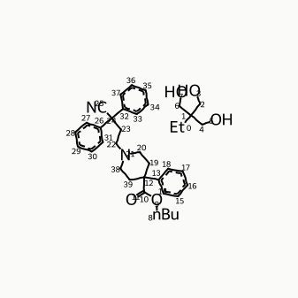 CCC(CO)(CO)CO.CCCCOC(=O)C1(c2ccccc2)CCN(CCC(C#N)(c2ccccc2)c2ccccc2)CC1